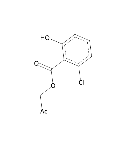 CC(=O)COC(=O)c1c(O)cccc1Cl